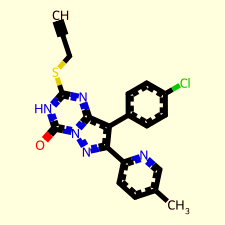 C#CCSc1nc2c(-c3ccc(Cl)cc3)c(-c3ccc(C)cn3)nn2c(=O)[nH]1